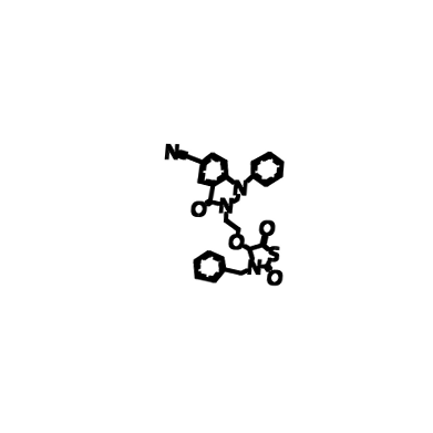 N#Cc1ccc2c(c1)C(=O)N(CCOC1C(=O)SC(=O)N1Cc1ccccc1)CN2c1ccccc1